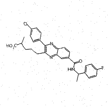 CC(CCCc1nc2cc(C(=O)NC(C)c3ccc(F)cc3)ccc2nc1-c1ccc(Cl)cc1)C(=O)O